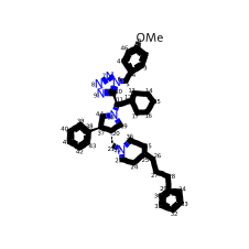 COc1ccc(Cn2nnnc2[C@@H](C2CCCCC2)N2C[C@H](CN3CCC(CCCc4ccccc4)CC3)[C@@H](c3ccccc3)C2)cc1